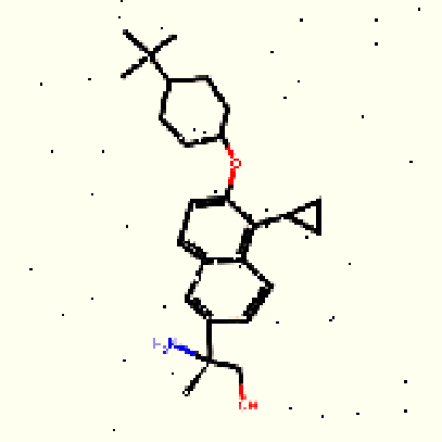 CC(C)(C)C1CCC(Oc2ccc3cc([C@@](C)(N)CO)ccc3c2C2CC2)CC1